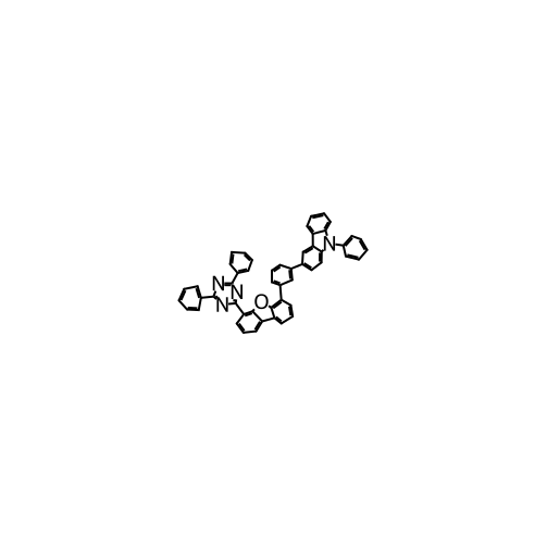 c1ccc(-c2nc(-c3ccccc3)nc(-c3cccc4c3oc3c(-c5cccc(-c6ccc7c(c6)c6ccccc6n7-c6ccccc6)c5)cccc34)n2)cc1